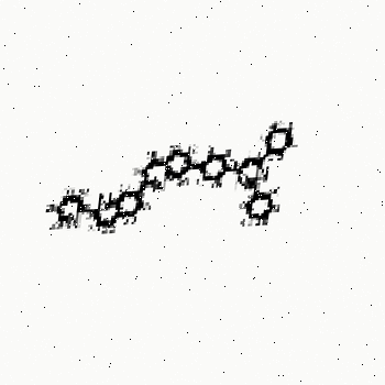 c1ccc(-c2cc(-c3ccc(-c4ccc5ccc(-c6ccc7ccc(-c8ccccn8)nc7c6)nc5c4)cc3)nc(-c3ccccc3)n2)cc1